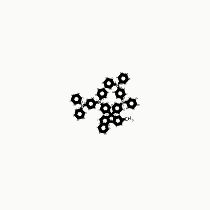 Cc1ccc2c(c1)C(c1ccc(N(c3ccccc3)c3ccc(N(c4ccccc4)c4ccccc4)cc3)cc1)(c1ccc(N(c3ccccc3)c3ccc(N(c4ccccc4)c4ccccc4)cc3)cc1)c1ccc3ccccc3c1-2